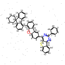 c1ccc(-c2nc(-c3ccc4oc5c(-c6cccc7c6-c6ccccc6C76CCCCC6)cccc5c4c3)c3sc4ccccc4c3n2)cc1